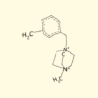 [CH2]c1cccc(C[N+]23CC[N+](C)(CC2)CC3)c1